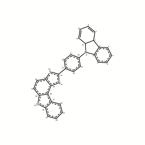 C1=CC2c3ccccc3N(c3ccc(-c4nc5c(ccc6oc7ccccc7c65)s4)cc3)C2C=C1